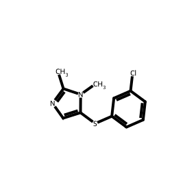 Cc1n[c]c(Sc2cccc(Cl)c2)n1C